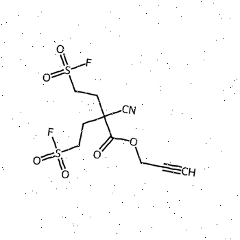 C#CCOC(=O)C(C#N)(CCS(=O)(=O)F)CCS(=O)(=O)F